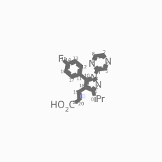 CC(C)c1nn(-c2cnccn2)c(-c2ccc(F)cc2)c1/C=C/C(=O)O